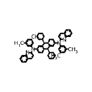 Cc1cc(C)cc(N(c2ccc3c(-c4ccccc4)c4cc(N(c5cc(C)cc(C)c5)c5ccc6ccccc6n5)ccc4c(-c4ccccc4)c3c2)c2ccc3ccccc3n2)c1